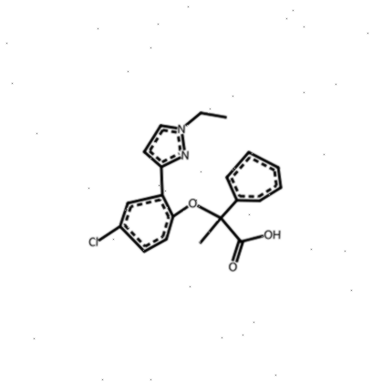 CCn1ccc(-c2cc(Cl)ccc2OC(C)(C(=O)O)c2ccccc2)n1